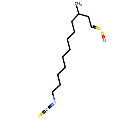 CC(CC=S=O)CCCCCCCCCN=C=S